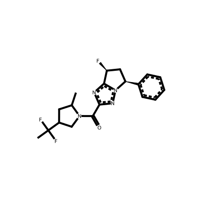 CC1CC(C(C)(F)F)CN1C(=O)c1nc2n(n1)[C@H](c1ccccc1)C[C@@H]2F